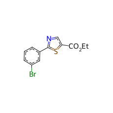 CCOC(=O)c1cnc(-c2cccc(Br)c2)s1